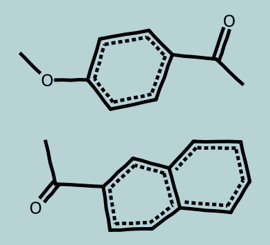 CC(=O)c1ccc2ccccc2c1.COc1ccc(C(C)=O)cc1